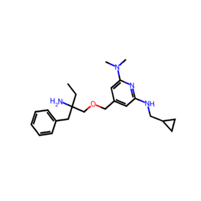 CCC(N)(COCc1cc(NCC2CC2)nc(N(C)C)c1)Cc1ccccc1